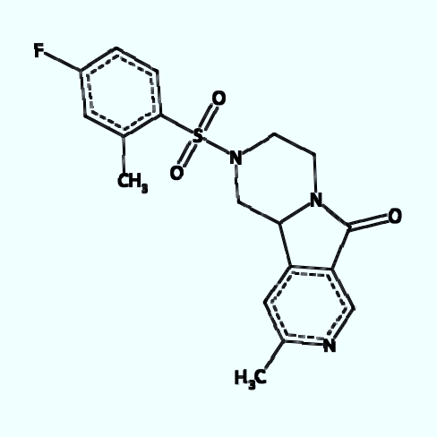 Cc1cc2c(cn1)C(=O)N1CCN(S(=O)(=O)c3ccc(F)cc3C)CC21